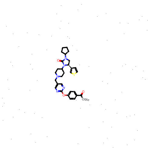 COC(=O)c1ccc(Oc2ncc(CN3CCC(N4C(=O)N(C5CCCC5)C[C@H]4c4ccsc4)CC3)cn2)cc1